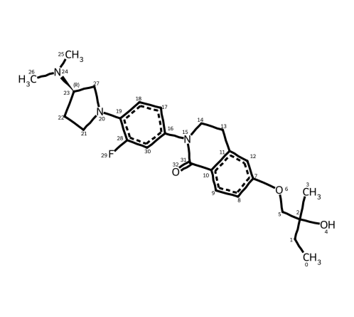 CCC(C)(O)COc1ccc2c(c1)CCN(c1ccc(N3CC[C@@H](N(C)C)C3)c(F)c1)C2=O